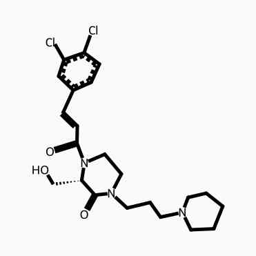 O=C1[C@H](CO)N(C(=O)/C=C/c2ccc(Cl)c(Cl)c2)CCN1CCCN1CCCCC1